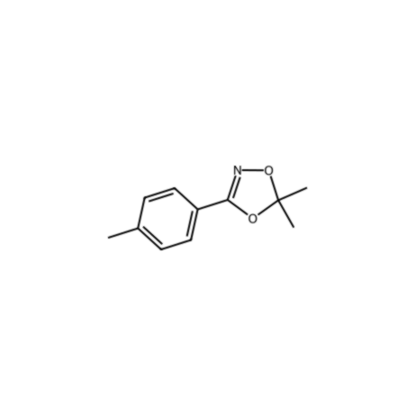 Cc1ccc(C2=NOC(C)(C)O2)cc1